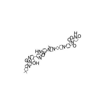 C[C@H]1CN(C2CC3(CCN(c4ccc5c(c4)C(=O)N(C4CCC(=O)NC4=O)C5=O)CC3)C2)CCN1c1ccc(Nc2cc(-c3ccnc(N4CCn5c(cc6c5CC(C)(C)C6)C4=O)c3CO)cn(C)c2=O)nc1